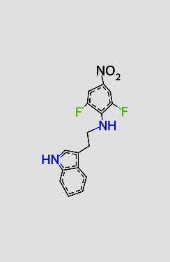 O=[N+]([O-])c1cc(F)c(NCCc2c[nH]c3ccccc23)c(F)c1